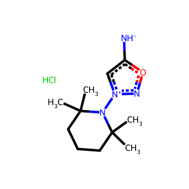 CC1(C)CCCC(C)(C)N1[n+]1cc([NH-])on1.Cl